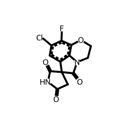 O=C1CC2(C(=O)N1)C(=O)N1CCOc3c(F)c(Cl)cc2c31